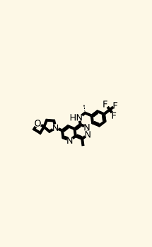 Cc1nnc(N[C@H](C)c2cccc(C(F)(F)F)c2)c2cc(N3CCC4(CCO4)C3)cnc12